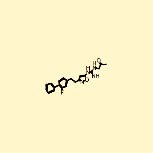 CC(=O)CNC(=N)Nc1cc(CCc2ccc(-c3ccccc3)c(F)c2)no1